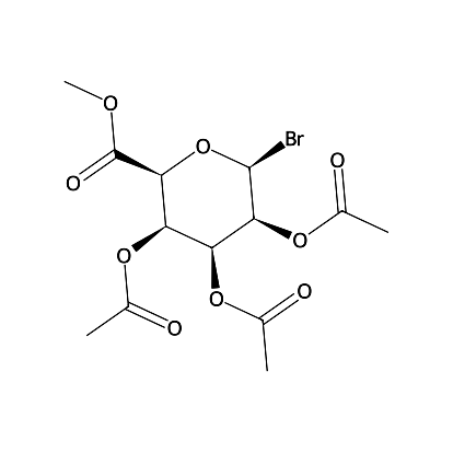 COC(=O)[C@H]1O[C@@H](Br)[C@@H](OC(C)=O)[C@@H](OC(C)=O)[C@H]1OC(C)=O